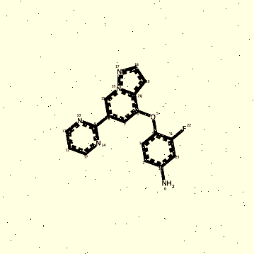 Nc1ccc(Oc2cc(-c3ncccn3)cn3nccc23)c(F)c1